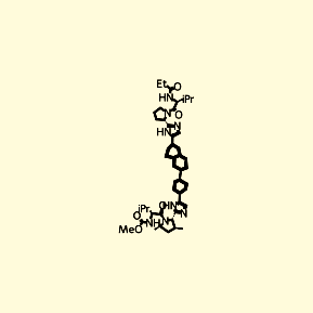 CCC(=O)N[C@H](C(=O)N1CCC[C@H]1c1ncc(-c2ccc3cc(-c4ccc(-c5cnc([C@@H]6[C@@H](C)C[C@@H](C)N6C(=O)[C@@H](NC(=O)OC)C(C)C)[nH]5)cc4)ccc3c2)[nH]1)C(C)C